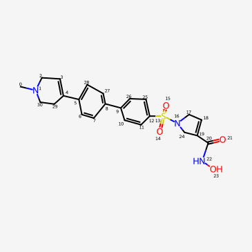 CN1CC=C(c2ccc(-c3ccc(S(=O)(=O)N4CC=C(C(=O)NO)C4)cc3)cc2)CC1